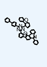 c1ccc(-c2ccc(-c3nc(-c4cccc5c4oc4c5ccc5c(-c6ccccc6)nc6ccccc6c54)nc(-c4cccc5oc6ccccc6c45)n3)cc2)cc1